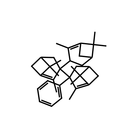 CC1=C2CC(CC1C1(C3(c4ccccc4)CC4CC(=C3C)C4(C)C)CC3CC(=C1C)C3(C)C)C2(C)C